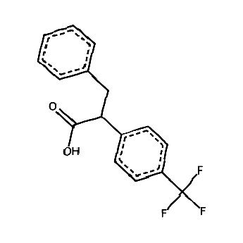 O=C(O)C(Cc1ccccc1)c1ccc(C(F)(F)F)cc1